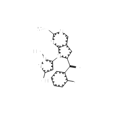 CSc1ncc2cc(C(=O)c3ccccc3Cl)n(-c3cc(C)nn3C)c2n1